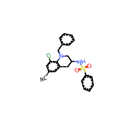 N#Cc1cc(Cl)c2c(c1)CC(NS(=O)(=O)c1ccccc1)CN2Cc1ccccc1